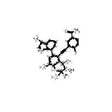 CC(=O)c1ccc(F)c(C#Cc2c(-c3cccc4c(C)c[nH]c34)cc(C)c3c2[C@@H](C)[C@H](O)C(C)(C)N3)c1